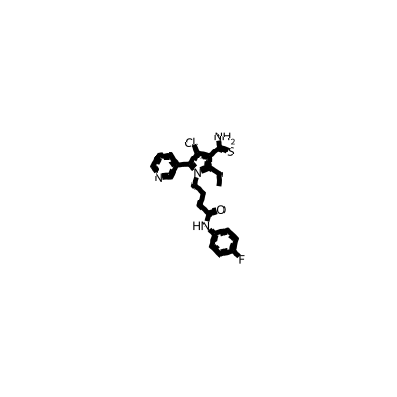 CCc1c(C(N)=S)c(Cl)c(-c2cccnc2)n1CCCC(=O)Nc1ccc(F)cc1